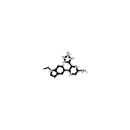 CCn1ccc2cc(-c3ncc(N)nc3-c3nn[nH]n3)ccc21